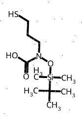 CC(C)(C)[Si](C)(C)ON(CCCS)C(=O)O